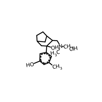 Cc1cc(O)cc(C2(O)CC3CCC(C3)C2CN(C)C)c1.Cl